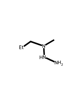 CCCN(C)NN